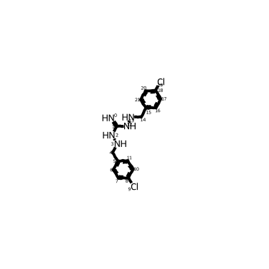 N=C(NNCc1ccc(Cl)cc1)NNCc1ccc(Cl)cc1